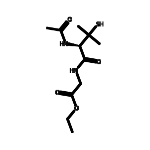 CCOC(=O)CNC(=O)[C@@H](NC(C)=O)C(C)(C)S